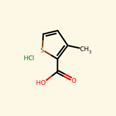 Cc1ccsc1C(=O)O.Cl